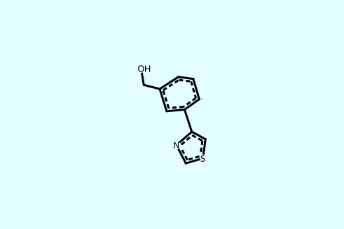 OCc1cc[c]c(-c2cscn2)c1